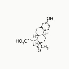 C[C@]12CC[C@@H]3c4ccc(O)cc4CC[C@H]3[C@@H]1C(CC(=O)O)CC2=O